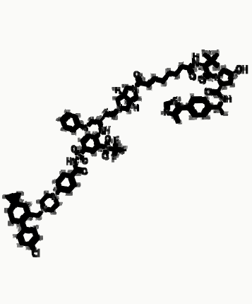 Cc1ncsc1-c1ccc([C@H](C)NC(=O)[C@@H]2C[C@@H](O)CN2C(=O)[C@@H](NC(=O)CCCCCCC(=O)N2C[C@H]3CN(CC[C@H](CSc4ccccc4)Nc4ccc(S(=O)(=O)NC(=O)c5ccc(N6CCN(CC7=C(c8ccc(Cl)cc8)CCC8(CC8)C7)CC6)cc5)cc4S(=O)(=O)C(F)(F)F)C[C@H]3C2)C(C)(C)C)cc1